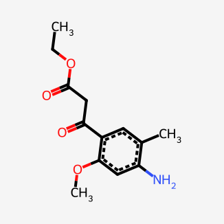 CCOC(=O)CC(=O)c1cc(C)c(N)cc1OC